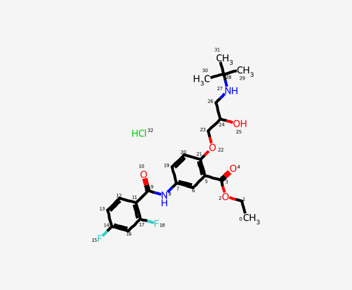 CCOC(=O)c1cc(NC(=O)c2ccc(F)cc2F)ccc1OCC(O)CNC(C)(C)C.Cl